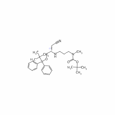 CN(CCCN/C(=C\C#N)CO[Si](c1ccccc1)(c1ccccc1)C(C)(C)C)C(=O)OC(C)(C)C